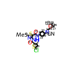 CSc1nc(NC(=O)c2ccc(Cl)s2)c(C(=O)Nc2ccc(N(C#N)CCO[Si](C)(C)C(C)(C)C)cc2)s1